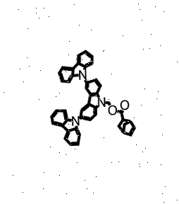 O=C(OCn1c2ccc(-n3c4ccccc4c4ccccc43)cc2c2cc(-n3c4ccccc4c4ccccc43)ccc21)C1CC2C=CC1C2